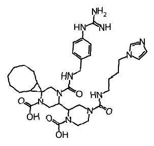 N=C(N)Nc1ccc(CNC(=O)N2CC3(C4CCCCCCC43)N(C(=O)O)CC2C2CN(C(=O)NCCCCn3ccnc3)CCN2C(=O)O)cc1